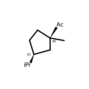 CC(=O)[C@]1(C)CC[C@H](C(C)C)C1